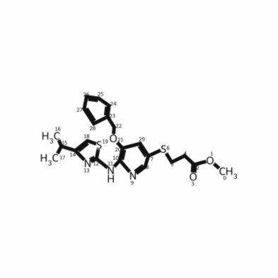 COC(=O)CCSc1cnc(Nc2nc(C(C)C)cs2)c(OCc2ccccc2)c1